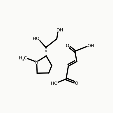 CN1CCC[C@H]1C(O)CO.O=C(O)/C=C/C(=O)O